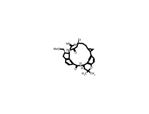 CC[C@]12CCC3CC3c3ccc4c(c3)[C@H](CC(C)(C)O4)NC(=O)c3ccc4c(c3)[C@@H]([C@H](COC)C4)N(C(=N)N1)C(=O)C2